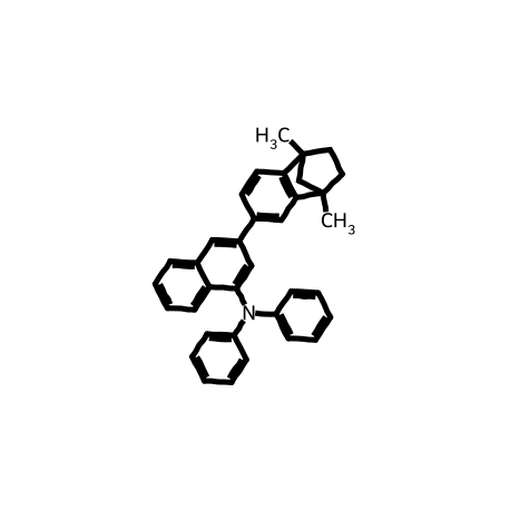 CC12CCC(C)(C1)c1cc(-c3cc(N(c4ccccc4)c4ccccc4)c4ccccc4c3)ccc12